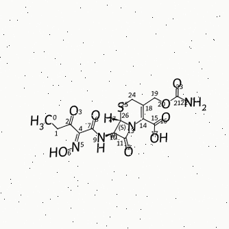 CCC(=O)C(=NO)C(=O)N[C@@H]1C(=O)N2C(C(=O)O)=C(COC(N)=O)CS[C@@H]12